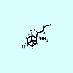 CCCC[C@@]1(N)CC[C@H]2C[C@@H]1C2(C)C